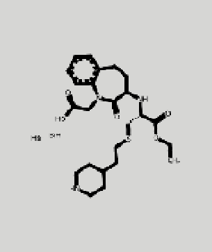 Br.Br.CCOC(=O)[C@H](CSCCC1CCNCC1)NC1CCc2ccccc2N(CC(=O)O)C1=O